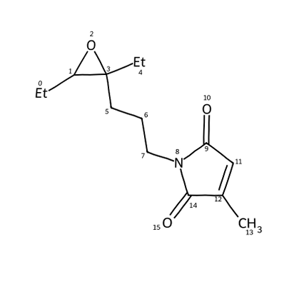 CCC1OC1(CC)CCCN1C(=O)C=C(C)C1=O